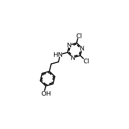 Oc1ccc(CCNc2nc(Cl)nc(Cl)n2)cc1